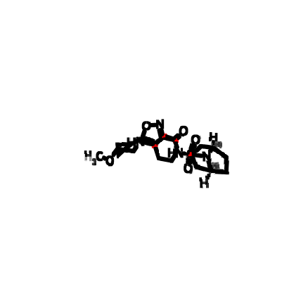 COCCN[C@H]1CC[C@H](S(=O)(=O)N2[C@@H]3CC[C@H]2C[C@@H](NC(=O)c2cc(C4CC4)on2)C3)CC1